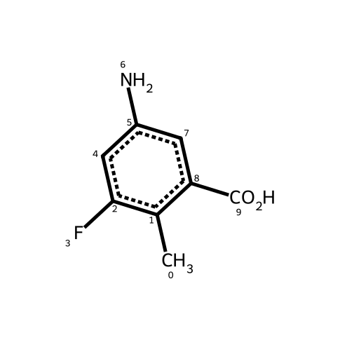 Cc1c(F)cc(N)cc1C(=O)O